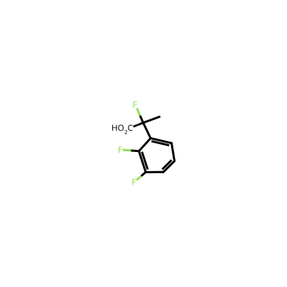 CC(F)(C(=O)O)c1cccc(F)c1F